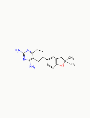 CC1(C)Cc2cc(C3CCc4nc(N)nc(N)c4C3)ccc2O1